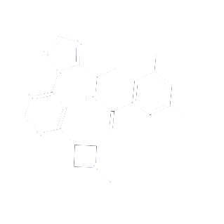 CC(=O)N1CC(c2cc(-n3ncnc3C(C)NC(=O)c3cc(C(F)(F)F)cc(C(F)(F)F)c3)ncn2)C1